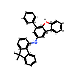 CC1(C)c2ccccc2-c2c(Nc3cc(-c4ccccc4)c4oc5ccccc5c4c3)cccc21